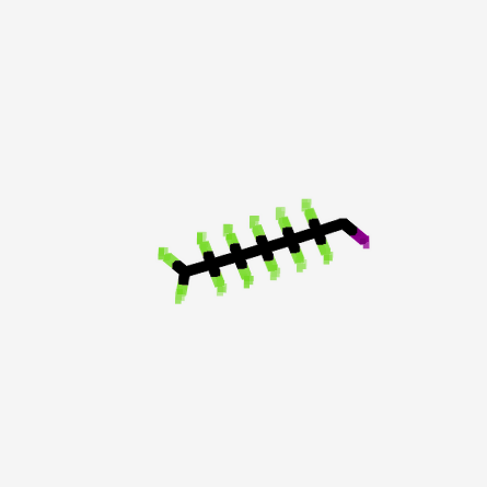 FC(F)C(F)(F)C(F)(F)C(F)(F)C(F)(F)C(F)(F)CI